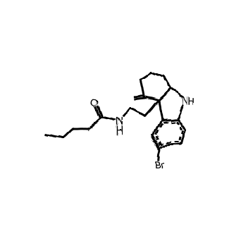 C=C1CCCC2Nc3ccc(Br)cc3C12CCNC(=O)CCCC